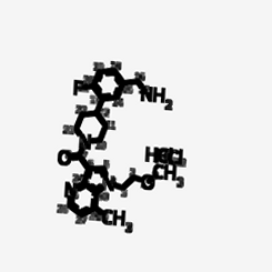 COCCn1cc(C(=O)N2CCC(c3cc(CN)ccc3F)CC2)c2nccc(C)c21.Cl.Cl